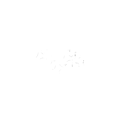 CCC(CC(C)c1ccccc1)S(=O)(=O)c1cccc(Nc2ccc(N)c3c2C(=O)c2ccccc2C3=O)c1